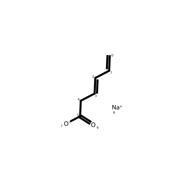 C=CC=CCC(=O)[O-].[Na+]